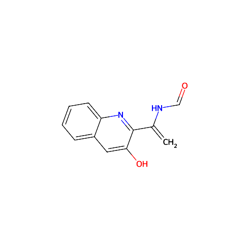 C=C(NC=O)c1nc2ccccc2cc1O